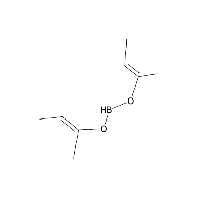 CC=C(C)OBOC(C)=CC